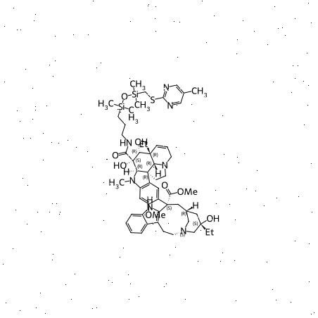 CC[C@]1(O)C[C@@H]2C[N@@](CCc3c([nH]c4ccccc34)[C@@](C(=O)OC)(c3cc4c(cc3OC)N(C)[C@H]3[C@@](O)(C(=O)NCCC[Si](C)(C)O[Si](C)(C)CSc5ncc(C)cn5)[C@H](O)[C@]5(CC)C=CCN6CC[C@]43[C@@H]65)C2)C1